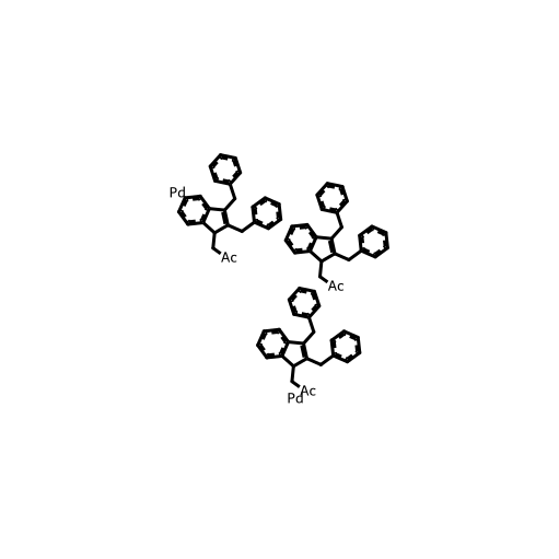 CC(=O)CC1C(Cc2ccccc2)=C(Cc2ccccc2)c2ccccc21.CC(=O)CC1C(Cc2ccccc2)=C(Cc2ccccc2)c2ccccc21.CC(=O)CC1C(Cc2ccccc2)=C(Cc2ccccc2)c2ccccc21.[Pd].[Pd]